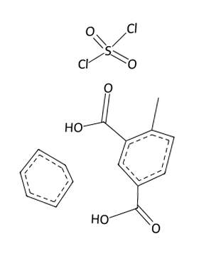 Cc1ccc(C(=O)O)cc1C(=O)O.O=S(=O)(Cl)Cl.c1ccccc1